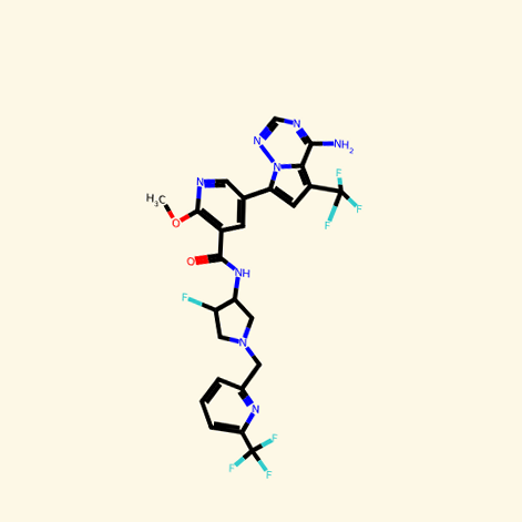 COc1ncc(-c2cc(C(F)(F)F)c3c(N)ncnn23)cc1C(=O)NC1CN(Cc2cccc(C(F)(F)F)n2)CC1F